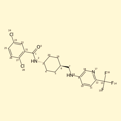 O=C(N[C@H]1CC[C@H](CNc2ccc(C(F)(F)F)nc2)CC1)c1cc(Cl)ccc1Cl